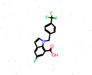 O=C(O)c1cc(F)cc2ccn(Cc3ccc(C(F)(F)F)cc3)c12